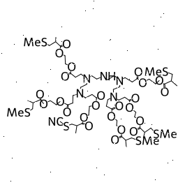 CSCC(C)C(=O)OCCOC(=O)CCN(CCNCCN(CCC(=O)OCCOC(=O)C(C)CSC)CCN(CCC(=O)OCCOC(=O)C(C)CSC)CCC(=O)OCCOC(=O)C(C)CSC#N)CCN(CCC(=O)OCCOC(=O)C(C)CSC)CCC(=O)OCCOC(=O)C(C)CSC